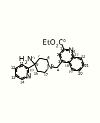 CCOC(=O)c1cc(CN2CCC(N)(c3ccccn3)CC2)c2ccccc2n1